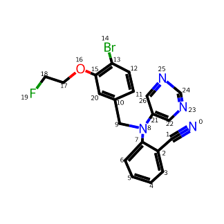 N#Cc1ccccc1N(Cc1ccc(Br)c(OCCF)c1)c1cncnc1